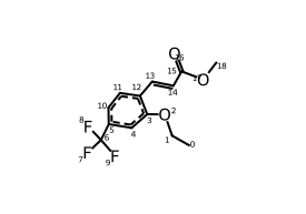 CCOc1cc(C(F)(F)F)ccc1C=CC(=O)OC